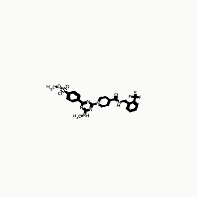 CNc1nc(-c2ccc(S(=O)(=O)OC)cc2)nc(N2CCC(C(=O)NCc3ccccc3C(F)(F)F)CC2)n1